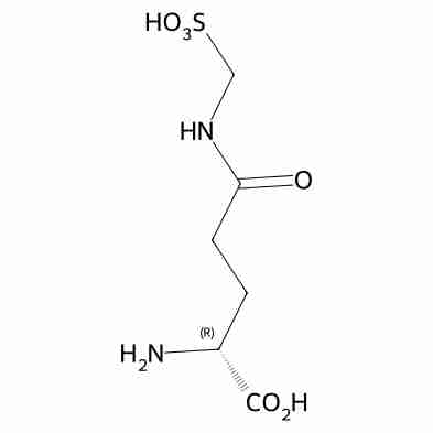 N[C@H](CCC(=O)NCS(=O)(=O)O)C(=O)O